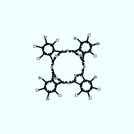 Clc1c(Cl)c(Br)c2c(c1Cl)-c1nc-2nc2[nH]c(nc3nc(nc4[nH]c(n1)c1c(Cl)c(Br)c(Cl)c(Br)c41)-c1c(Cl)c(Cl)c(Br)c(Cl)c1-3)c1c(Br)c(Cl)c(Br)c(Cl)c21